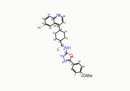 COc1ccc(-c2nnc(N[C@H](C)C3CCC(c4ccnc5ccc(F)cc45)CC3)o2)cc1